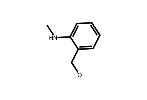 CNc1ccccc1C[O]